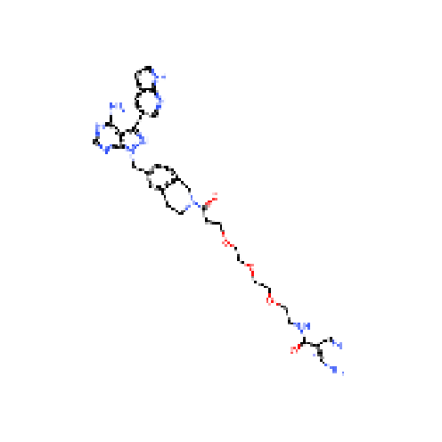 N=C/C(=C\N)C(=O)NCCOCCOCCOCCC(=O)N1CCc2cc(Cn3nc(-c4cnc5[nH]ccc5c4)c4c(N)ncnc43)ccc2C1